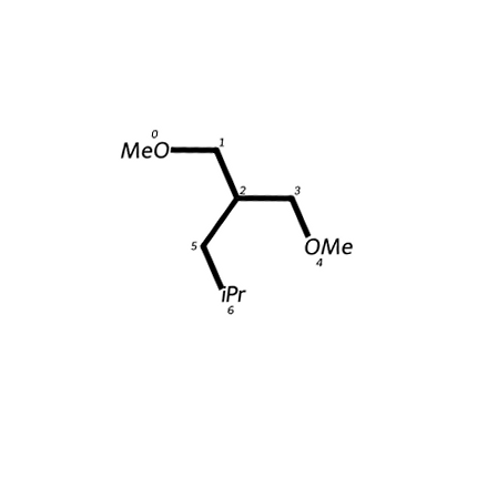 COCC(COC)CC(C)C